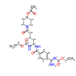 CCOC(=O)N=C(N)c1ccc(C(=O)NC(CCCC(=O)N2CCC(OC(C)=O)CC2)NC(=O)OCC)cc1